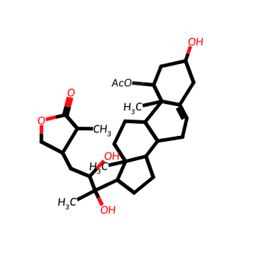 CC(=O)OC1CC(O)CC2=CCC3C4CCC(C(C)(O)C(O)CC5COC(=O)C5C)C4(C)CCC3C21C